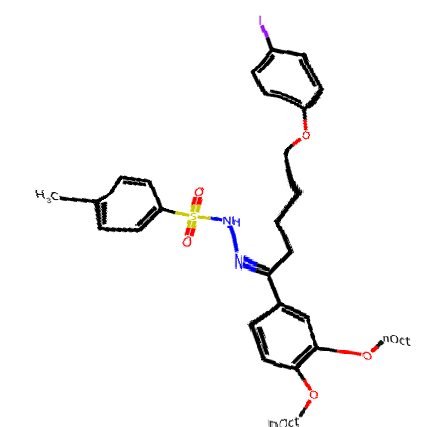 CCCCCCCCOc1ccc(C(CCCCOc2ccc(I)cc2)=NNS(=O)(=O)c2ccc(C)cc2)cc1OCCCCCCCC